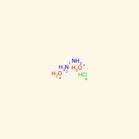 Cl.N.N.O.O